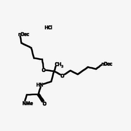 CCCCCCCCCCCCCCOC(C)(CNC(=O)CNC)OCCCCCCCCCCCCCC.Cl